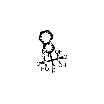 O=P(O)(O)C(O)(c1cn2ccccc2n1)P(=O)(O)O